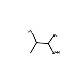 CSC(C(C)C)C(C)C(C)C